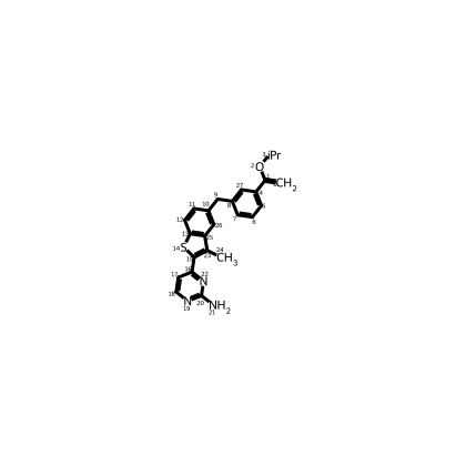 C=C(OC(C)C)c1cccc(Cc2ccc3sc(-c4ccnc(N)n4)c(C)c3c2)c1